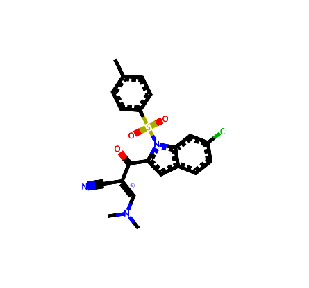 Cc1ccc(S(=O)(=O)n2c(C(=O)/C(C#N)=C/N(C)C)cc3ccc(Cl)cc32)cc1